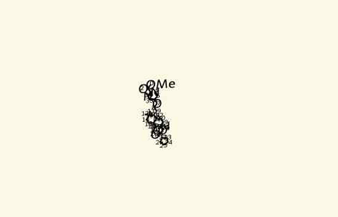 COC(=O)c1ncc(OCC[C@@H]2C(C)(C)CCC3[C@]4(C)CO[C@@H](C5CCCC5)O[C@@H]4CC[C@]32C)cn1